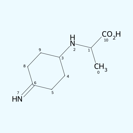 CC(NC1CCC(=N)CC1)C(=O)O